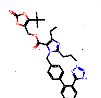 CCCc1nc(CC)c(C(=O)OCc2oc(=O)oc2C(C)(C)C)n1Cc1ccc(-c2ccccc2-c2nnn[nH]2)cc1